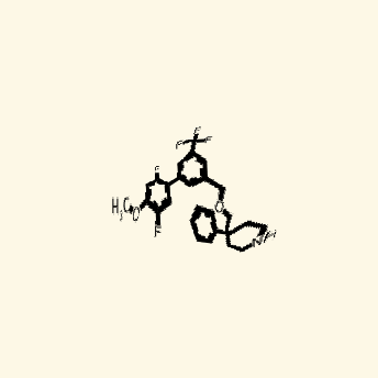 COc1cc(F)c(-c2cc(COCC3(c4ccccc4)CCNCC3)cc(C(F)(F)F)c2)cc1F